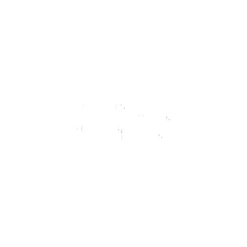 N#Cc1nccc2c(Nc3ccc(F)c(Cl)c3)c(N)oc12